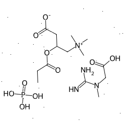 CCC(=O)OC(CC(=O)[O-])C[N+](C)(C)C.CN(CC(=O)O)C(=N)N.O=P(O)(O)O